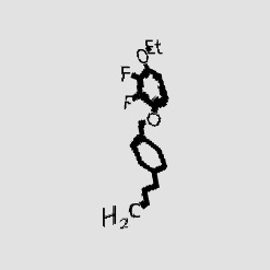 C=CCCC1CCC(COc2ccc(OCC)c(F)c2F)CC1